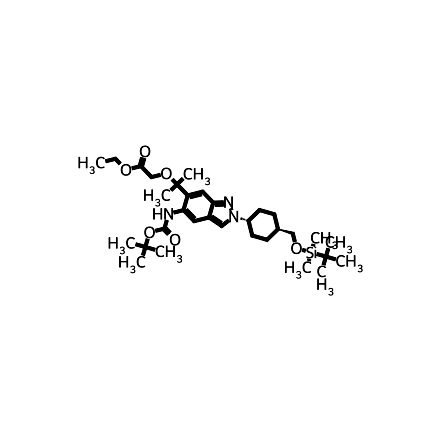 CCOC(=O)COC(C)(C)c1cc2nn([C@H]3CC[C@H](CO[Si](C)(C)C(C)(C)C)CC3)cc2cc1NC(=O)OC(C)(C)C